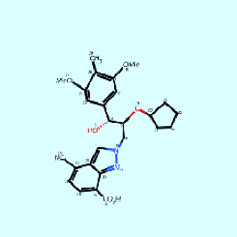 COc1cc([C@@H](O)[C@H](Cn2cc3c(C#N)ccc(C(=O)O)c3n2)OC2CCCC2)cc(OC)c1C